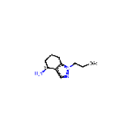 CC(=O)OCCn1ncc2c1CCC[C@@H]2N